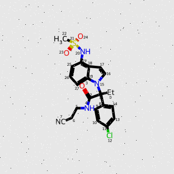 CCC(C(=O)NCCC#N)(c1ccc(Cl)cc1)n1ccc2c(NS(C)(=O)=O)cccc21